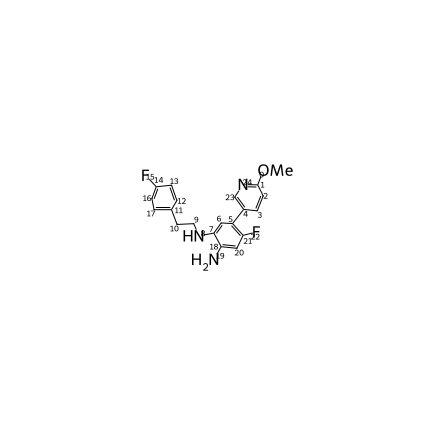 COc1ccc(-c2cc(NCCc3ccc(F)cc3)c(N)cc2F)cn1